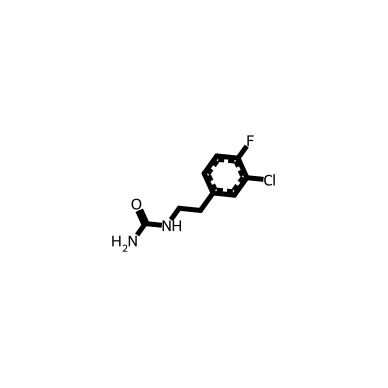 NC(=O)NCCc1ccc(F)c(Cl)c1